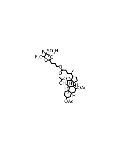 CC(=O)OC1CC[C@@]2(C)[C@@H](C1)CC(OC(C)=O)[C@@H]1[C@@H]2CC(OC(C)O)[C@]2(C)[C@@H]([C@H](C)CCC(=O)OCCCC(=O)OC(C(F)(F)F)C(F)(F)S(=O)(=O)O)CC[C@@H]12